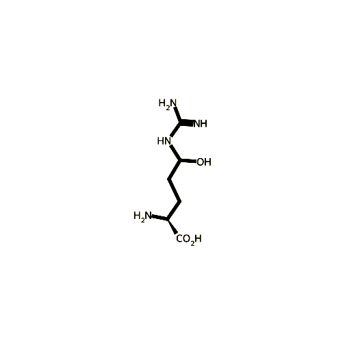 N=C(N)NC(O)CC[C@H](N)C(=O)O